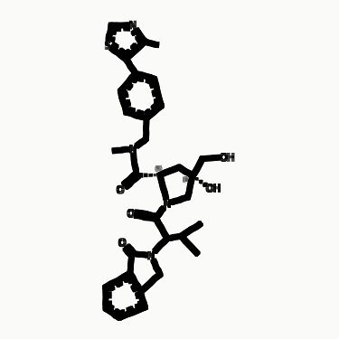 Cc1ncsc1-c1ccc(CN(C)C(=O)[C@@H]2C[C@@](O)(CO)CN2C(=O)C(C(C)C)N2Cc3ccccc3C2=O)cc1